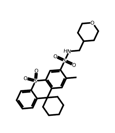 Cc1cc2c(cc1S(=O)(=O)NCC1CCOCC1)S(=O)(=O)c1ccccc1C21CCCCC1